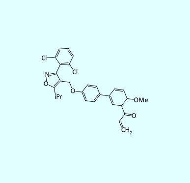 C=CC(=O)C1C=C(c2ccc(OCc3c(-c4c(Cl)cccc4Cl)noc3C(C)C)cc2)C=CC1OC